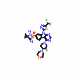 N#CC1(NS(=O)(=O)c2ccc3c4c(N5CCC(N6CCOCC6)[C@@H](F)C5)ncnc4n(-c4nnc(C(F)F)s4)c3c2)CC1